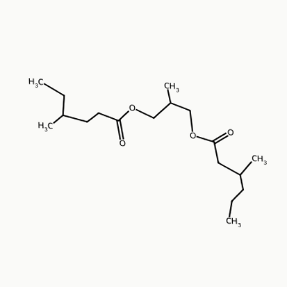 CCCC(C)CC(=O)OCC(C)COC(=O)CCC(C)CC